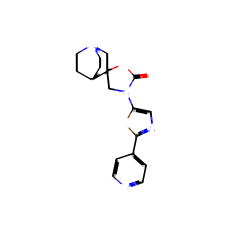 O=C1OC2(CN3CCC2CC3)CN1c1cnc(-c2ccncc2)s1